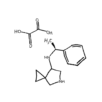 C[C@H](NC1CNCC12CC2)c1ccccc1.O=C(O)C(=O)O